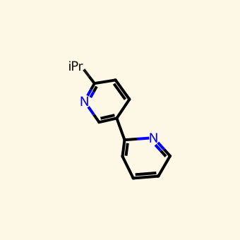 CC(C)c1ccc(-c2ccccn2)cn1